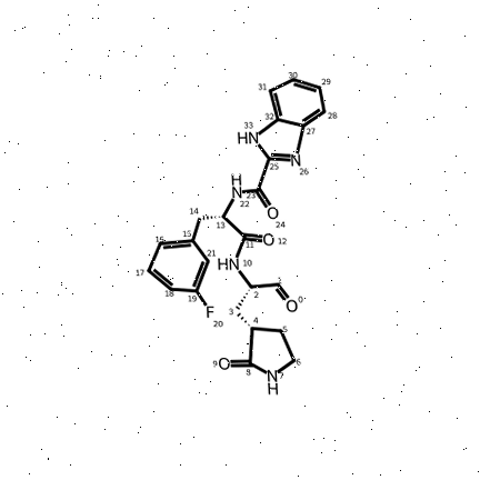 O=C[C@H](C[C@@H]1CCNC1=O)NC(=O)[C@H](Cc1cccc(F)c1)NC(=O)c1nc2ccccc2[nH]1